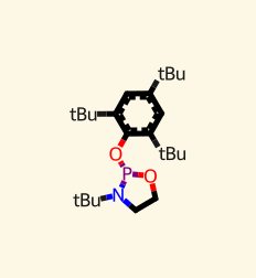 CC(C)(C)c1cc(C(C)(C)C)c(OP2OCCN2C(C)(C)C)c(C(C)(C)C)c1